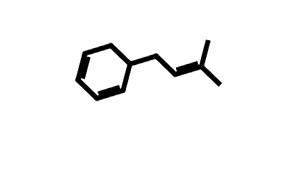 CC(C)=CCC1C=CC=CC1